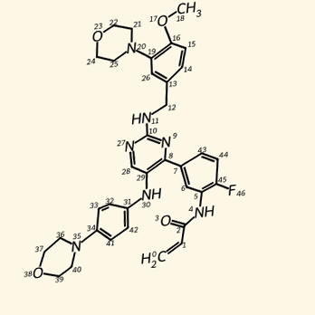 C=CC(=O)Nc1cc(-c2nc(NCc3ccc(OC)c(N4CCOCC4)c3)ncc2Nc2ccc(N3CCOCC3)cc2)ccc1F